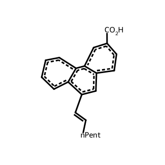 CCCCC/C=C/c1cc2ccc(C(=O)O)cc2c2ccccc12